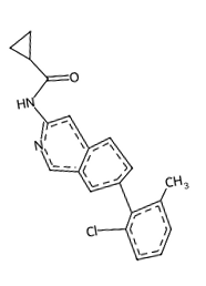 Cc1cccc(Cl)c1-c1ccc2cc(NC(=O)C3CC3)ncc2c1